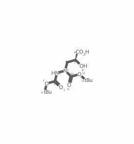 CC(C)(C)OC(=O)NN(C[C@H](O)C(=O)O)C(=O)OC(C)(C)C